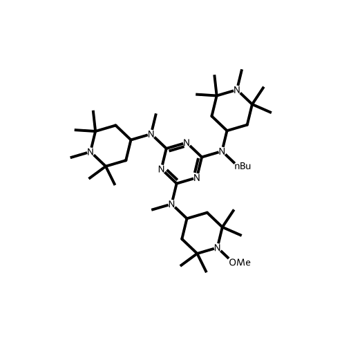 CCCCN(c1nc(N(C)C2CC(C)(C)N(C)C(C)(C)C2)nc(N(C)C2CC(C)(C)N(OC)C(C)(C)C2)n1)C1CC(C)(C)N(C)C(C)(C)C1